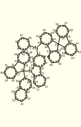 c1ccc(N(c2ccc3c4ccccc4n(C4(c5ccc6ccccc6c5)c5ccccc5-c5ccccc54)c3c2)c2cccc3c2-c2ccccc2C32c3ccccc3-c3ccccc32)cc1